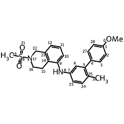 COc1ccc(-c2cc(Nc3cccc4c3CCN(S(C)(=O)=O)C4)ccc2C)cc1